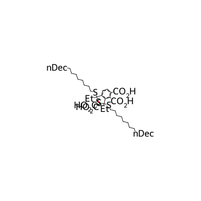 CCCCCCCCCCCCCCCCCCSC(CC)(SC(=O)O)c1ccc(C(=O)O)c(C(=O)O)c1C(CC)(SCCCCCCCCCCCCCCCCCC)SC(=O)O